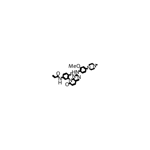 C=CC(=O)Nc1ccc(F)c(-n2c(=O)ccc3cnc(Nc4ccc(N5CCN(C)CC5)cc4OC)nc32)c1